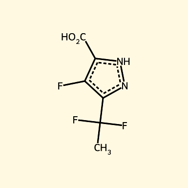 CC(F)(F)c1n[nH]c(C(=O)O)c1F